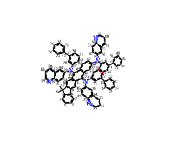 CC1(C)c2ccccc2-c2cc3c(N(c4cccc(-c5ccccc5)c4)c4ccc5ncccc5c4)c4cc(N(c5cccc(-c6ccccc6)c5)c5ccc6ncccc6c5)ccc4c(N(c4cccc(-c5ccccc5)c4)c4ccc5ncccc5c4)c3cc21